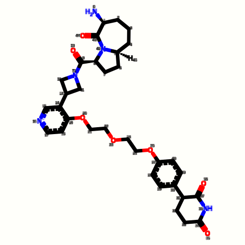 N[C@H]1CCC[C@H]2CC[C@@H](C(=O)N3CC(c4cnccc4OCCOCCOc4ccc(C5CCC(=O)NC5=O)cc4)C3)N2C1=O